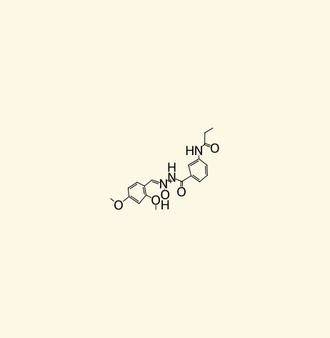 CCC(=O)Nc1cccc(C(=O)N[N+](O)=Cc2ccc(OC)cc2OC)c1